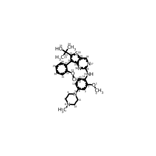 COc1cc(N2CCN(C)CC2)ccc1Nc1ncc2sc(C(C)(C)O)c(-c3ccccc3OC)c2n1